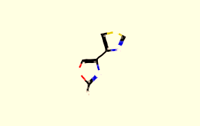 CCCc1nc(-c2cscn2)co1